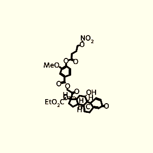 CCOC(=O)O[C@]1(C(=O)COC(=O)c2ccc(OC(=O)CCCO[N+](=O)[O-])c(OC)c2)CC[C@H]2[C@@H]3CCC4=CC(=O)C=C[C@]4(C)[C@H]3[C@@H](O)C[C@@]21C